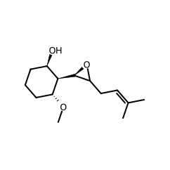 CO[C@@H]1CCC[C@@H](O)[C@H]1[C@H]1OC1CC=C(C)C